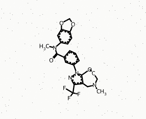 CN1CCOc2c(c(C(F)(F)F)nn2-c2cccc(C(=O)N(C)c3ccc4c(c3)OCO4)c2)C1